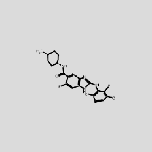 C[C@H]1CC[C@H](NC(=O)c2cc3nc(Nc4c(Cl)ccc(Cl)c4F)[nH]c3cc2F)CC1